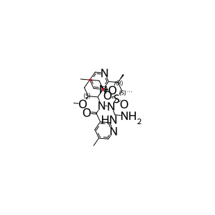 CO[C@H]1CCC[C@@H](OC)C1N(C(=O)c1cncc(C)c1)N(C(=N)N)S(=O)(=O)[C@@H](C)[C@H](C)c1ncc(C)cn1